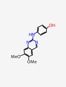 COc1cc2cnc(Nc3ccc(O)cc3)nc2cc1OC